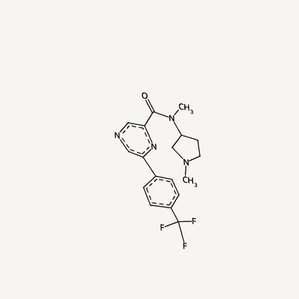 CN1CCC(N(C)C(=O)c2cncc(-c3ccc(C(F)(F)F)cc3)n2)C1